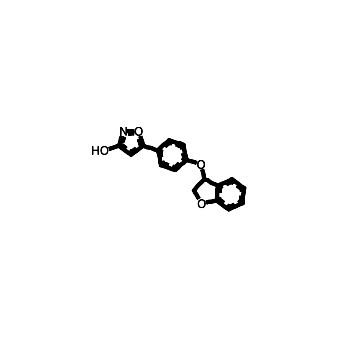 Oc1cc(-c2ccc(OC3COc4ccccc43)cc2)on1